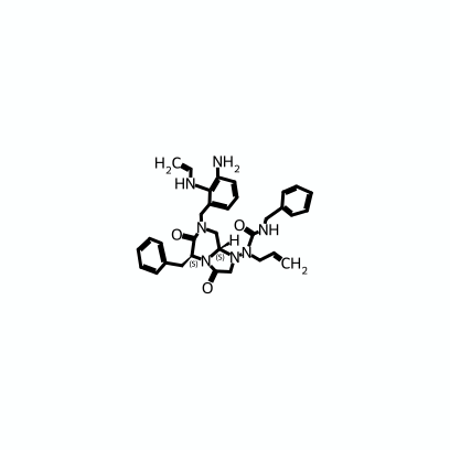 C=CCN(C(=O)NCc1ccccc1)N1CC(=O)N2[C@@H](Cc3ccccc3)C(=O)N(Cc3cccc(N)c3NC=C)C[C@@H]21